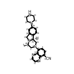 C[C@@H]1CN(c2ccc(C#N)c3nccnc23)C[C@@H]2c3ccc(N4CCNCC4)cc3CN12